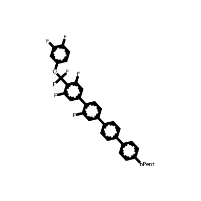 CCCCCc1ccc(-c2ccc(-c3ccc(-c4cc(F)c(C(F)(F)Oc5ccc(F)c(F)c5)c(F)c4)c(F)c3)cc2)cc1